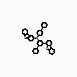 c1ccc(-c2ccc(N(c3cc(-c4ccccc4)cc(-c4cccc5c4sc4ccccc45)c3)c3ccc4sc5ccccc5c4c3)cc2)cc1